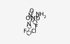 NC(=O)Cn1c(C(=O)N2CCOCC2)c(CN2CCC(c3c(F)cccc3Cl)CC2)c2cc(F)ccc21